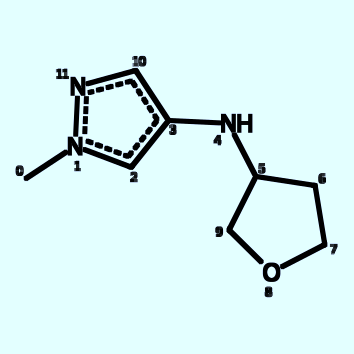 Cn1cc(NC2CCOC2)cn1